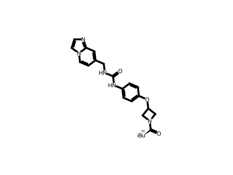 CC[C@H](C)C(=O)N1CC(Oc2ccc(NC(=O)NCc3ccn4ccnc4c3)cc2)C1